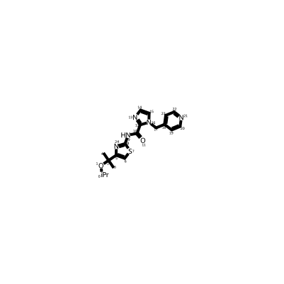 CC(C)OC(C)(C)c1csc(NC(=O)c2nccn2Cc2ccncc2)n1